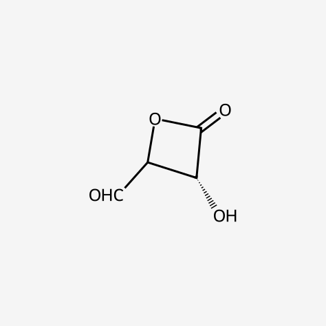 O=CC1OC(=O)[C@@H]1O